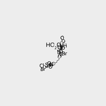 O=C(O)C(Cc1cccc2ccccc12)NS(=O)(=O)c1cnc(N2CCC(CCCC3CCN(S(=O)(=O)c4cc(Br)c(Cl)s4)CC3)CC2)c(Br)c1